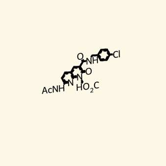 CC(=O)Nc1ccc2cc(C(=O)NCc3ccc(Cl)cc3)c(=O)n(CC(=O)O)c2n1